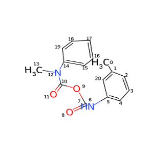 Cc1cccc(NC(=O)OC(=O)N(C)c2ccccc2)c1